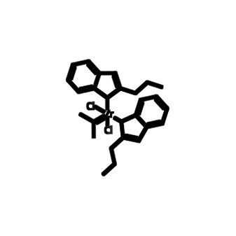 CCCC1=Cc2ccccc2[CH]1[Zr]([Cl])([Cl])(=[C](C)C)[CH]1C(CCC)=Cc2ccccc21